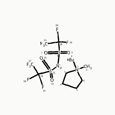 CCCC[N+]1(C)CCCC1.O=S(=O)([N-]S(=O)(=O)C(F)(F)C(F)(F)F)C(F)(F)C(F)(F)F